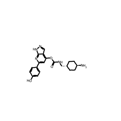 N[C@H]1CC[C@H](CNC(=O)Oc2cc(-c3ccc(O)cc3)nc3[nH]ncc23)CC1